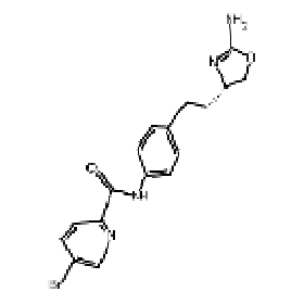 NC1=N[C@@H](CCc2ccc(NC(=O)c3ccc(Br)cn3)cc2)CO1